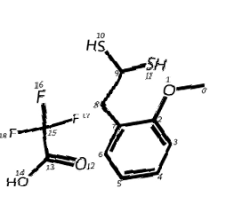 COc1ccccc1CC(S)S.O=C(O)C(F)(F)F